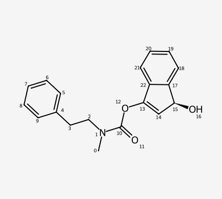 CN(CCc1ccccc1)C(=O)OC1=C[C@H](O)c2ccccc21